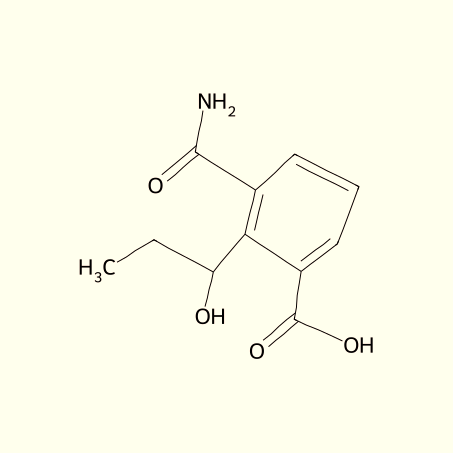 CCC(O)c1c(C(N)=O)cccc1C(=O)O